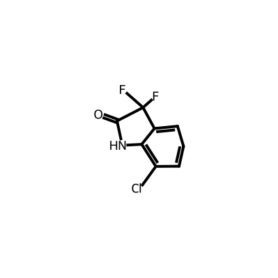 O=C1Nc2c(Cl)cccc2C1(F)F